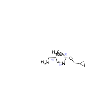 C\C=C(/N=C\C(=C/N)C(C)(C)C)OCC1CC1